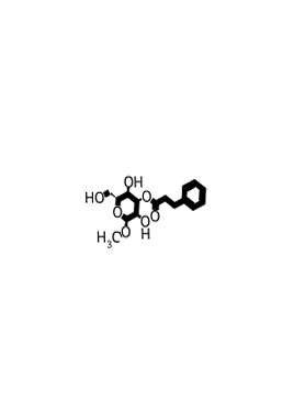 CO[C@H]1O[C@H](CO)[C@@H](O)[C@H](OC(=O)CCc2ccccc2)[C@H]1O